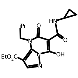 CCOC(=O)c1cnn2c(O)c(C(=O)NC3CC3)c(=O)n(CC(C)C)c12